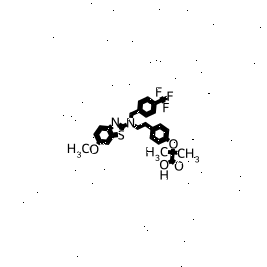 COc1ccc2nc(N(CCc3ccc(OC(C)(C)C(=O)O)cc3)Cc3ccc(C(F)(F)F)cc3)sc2c1